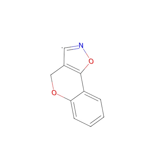 [c]1noc2c1COc1ccccc1-2